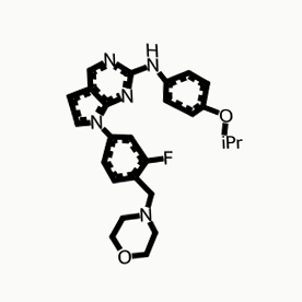 CC(C)Oc1ccc(Nc2ncc3ccn(-c4ccc(CN5CCOCC5)c(F)c4)c3n2)cc1